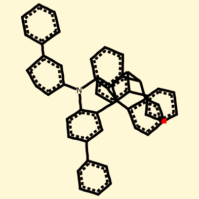 c1ccc(-c2cccc(N3c4ccc(-c5ccccc5)cc4C45c6ccccc6C(c6ccccc64)c4c(-c6ccccc6)ccc3c45)c2)cc1